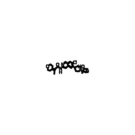 CC1C(C(=O)Nc2cc3cc(C4CCN(C5(C)COCC5O)CC4)c(Cl)cc3cn2)C12CCOCC2